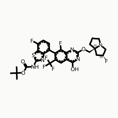 CC(C)(C)OC(=O)Nc1nc2c(-c3c(C(F)(F)F)cc4c(O)nc(OC[C@@]56CCCN5C[C@H](F)C6)nc4c3F)ccc(F)c2s1